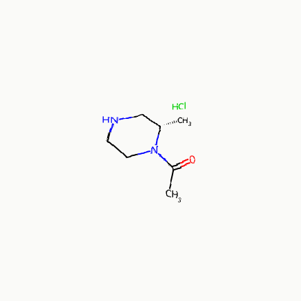 CC(=O)N1CCNC[C@@H]1C.Cl